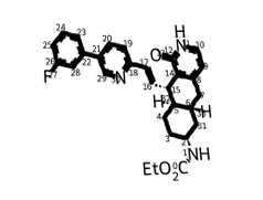 CCOC(=O)N[C@@H]1CC[C@@H]2[C@H](Cc3cc[nH]c(=O)c3[C@H]2/C=C/c2ccc(-c3cccc(F)c3)cn2)C1